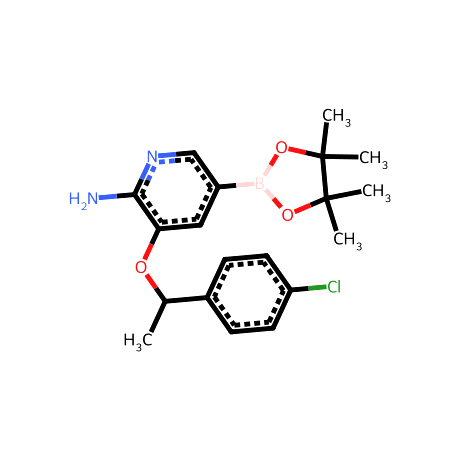 CC(Oc1cc(B2OC(C)(C)C(C)(C)O2)cnc1N)c1ccc(Cl)cc1